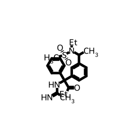 CCC(=O)C(NC(C)=N)(c1ccccc1)c1cccc(C(C)N(CC)S(C)(=O)=O)c1